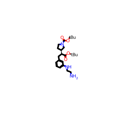 CC(C)(C)OC(=O)C(Cc1cccc(NCCN)c1)[C@H]1CCN(C(=O)OC(C)(C)C)C1